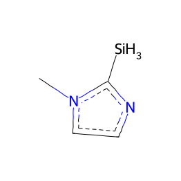 Cn1ccnc1[SiH3]